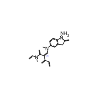 C=CC(=C)/C(=C/N(C)c1ccc2c(c1)CC(=C)N2N)C(=C)N(C)C=C